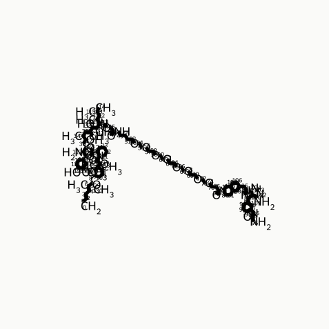 C=C/C=C/C=C(\C)[C@H](C[C@@H]1CC[C@@H](C)[C@](O)(C(=O)C(=O)N2CCCC[C@H]2C(=O)O[C@@H](C[C@@H](O)[C@H](C)/C=C(\C)[C@@H](O)[C@@H](O)C(=NOCC(=O)NCCCCOCCOCCOCCOCCOCCOCCOCCOCCC(=O)N2CCc3cc(Cn4nc(-c5ccc6oc(N)nc6c5)c5c(N)ncnc54)ccc3C2)[C@H](C)CC(C)C)[C@H](N)C[C@@H]2CC[C@@H](O)[C@H](OC)C2)O1)OC